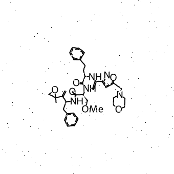 C=C(NC(CCc1ccccc1)C(=O)N[C@@H](COC)C(=O)NC(Cc1ccccc1)C(=C)C1(C)CO1)c1cc(CN2CCOCC2)on1